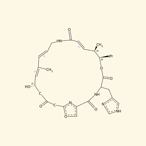 CC1=C\[C@@H](O)CC(=O)Cc2nc(co2)C(=O)NC(Cc2c[nH]cn2)C(=O)O[C@H](C(C)C)[C@H](C)/C=C/C(=O)NC\C=C\1